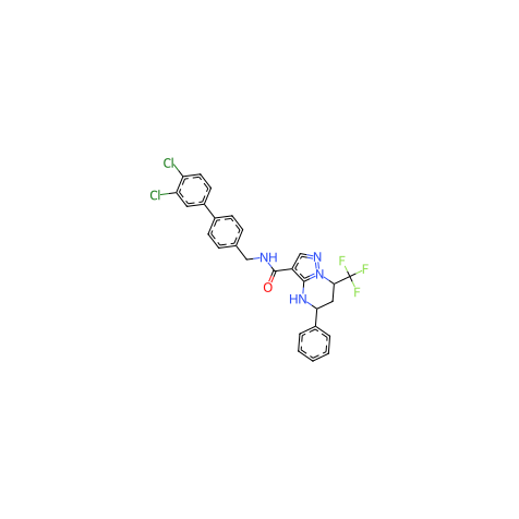 O=C(NCc1ccc(-c2ccc(Cl)c(Cl)c2)cc1)c1cnn2c1NC(c1ccccc1)CC2C(F)(F)F